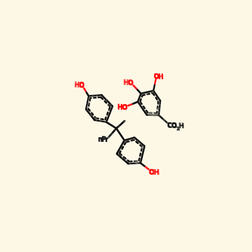 CCCC(C)(c1ccc(O)cc1)c1ccc(O)cc1.O=C(O)c1cc(O)c(O)c(O)c1